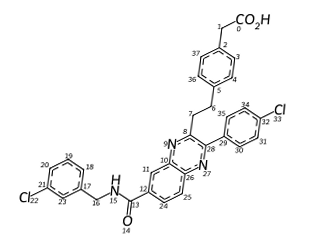 O=C(O)Cc1ccc(CCc2nc3cc(C(=O)NCc4cccc(Cl)c4)ccc3nc2-c2ccc(Cl)cc2)cc1